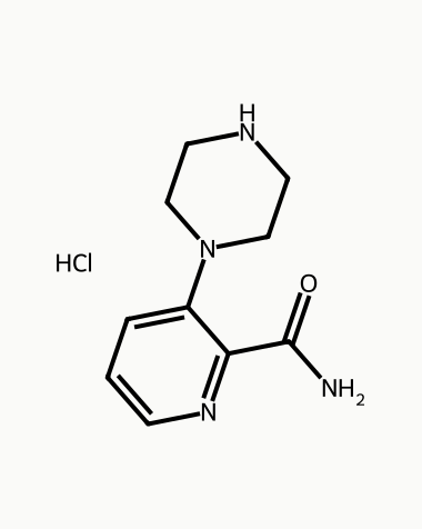 Cl.NC(=O)c1ncccc1N1CCNCC1